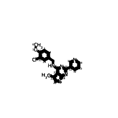 COc1ccc(CNc2nc(-c3cccnc3)nc3scc(C)c23)cc1Cl